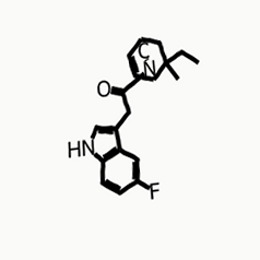 CCC1(C)CC2C=CC1N(C(=O)Cc1c[nH]c3ccc(F)cc13)C2